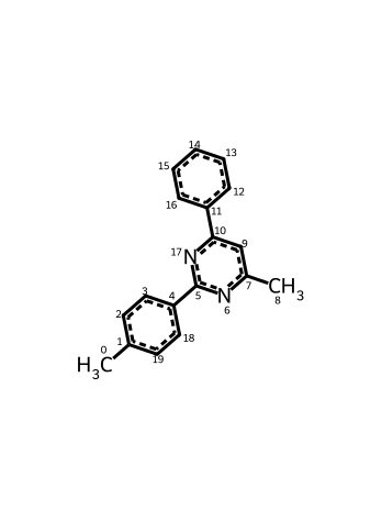 Cc1ccc(-c2nc(C)cc(-c3ccccc3)n2)cc1